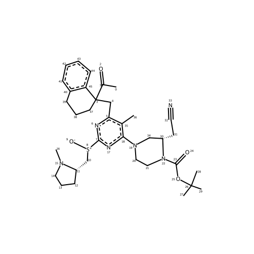 CC(=O)C1(Cc2nc([S+]([O-])C[C@@H]3CCCN3C)nc(N3CCN(C(=O)OC(C)(C)C)[C@@H](CC#N)C3)c2C)CCCc2ccccc21